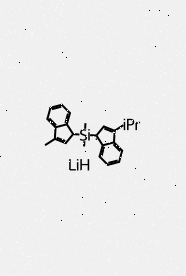 CC1=CC([Si](C)(C)[C]2C=C(C(C)C)c3ccccc32)c2ccccc21.[LiH]